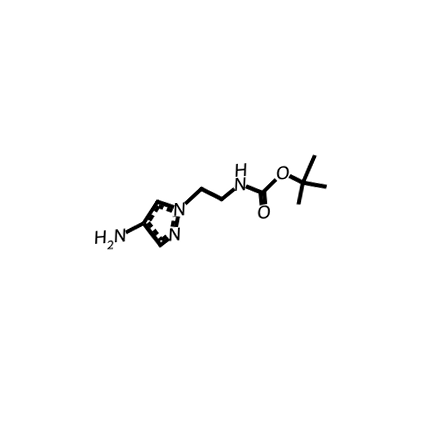 CC(C)(C)OC(=O)NCCn1cc(N)cn1